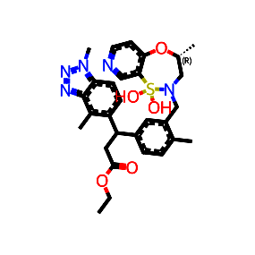 CCOC(=O)CC(c1ccc(C)c(CN2C[C@@H](C)Oc3ccncc3S2(O)O)c1)c1ccc2c(nnn2C)c1C